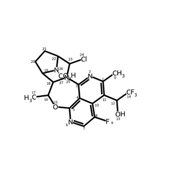 Cc1nc2c3c(ncc(F)c3c1C(O)C(F)(F)F)OC(C)C1C3CCC(C(Cl)N21)N3C(=O)O